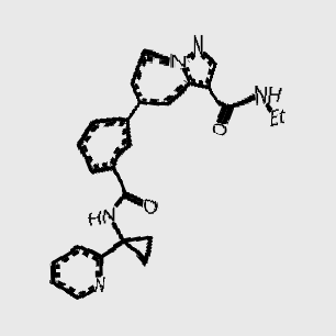 CCNC(=O)c1cnn2ccc(-c3cccc(C(=O)NC4(c5ccccn5)CC4)c3)cc12